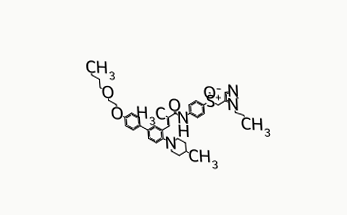 CCCCOCCOc1ccc(-c2ccc(N3CCC(C)CC3)c(/C=C(\C)C(=O)Nc3ccc([S@@+]([O-])Cc4cncn4CCC)cc3)c2)cc1